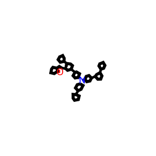 c1ccc(-c2ccc(N(c3ccc(-c4cccc(-c5ccccc5)c4)cc3)c3ccc(-c4ccc(-c5ccccc5)c(-c5cc6ccccc6o5)c4)cc3)cc2)cc1